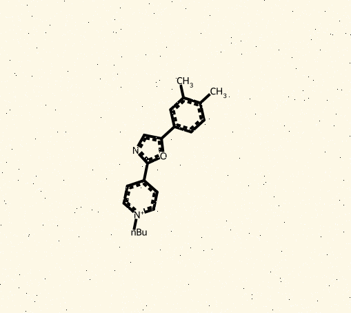 CCCC[n+]1ccc(-c2ncc(-c3ccc(C)c(C)c3)o2)cc1